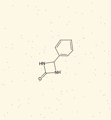 O=C1NC(c2ccccc2)N1